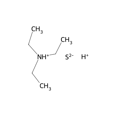 CC[NH+](CC)CC.[H+].[S-2]